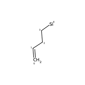 C=CCC[Si]